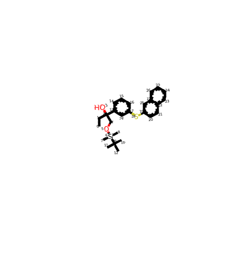 CCC(O)(CO[Si](C)(C)C(C)(C)C)c1cccc(Sc2ccc3ccccc3c2)c1